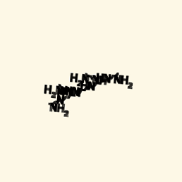 CC(N)CCNCCCC(CNCCCCCNCC(CCCNCCC(C)N)NCCC(C)N)NCCC(C)N